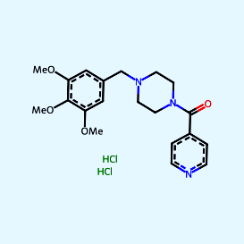 COc1cc(CN2CCN(C(=O)c3ccncc3)CC2)cc(OC)c1OC.Cl.Cl